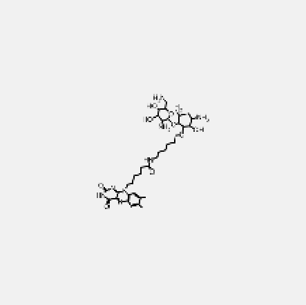 Cc1cc2nc3c(=O)[nH]c(=O)nc-3n(CCCCCC(=O)NCCCCCCOC3C(O)C(N)CC(N)C3OC3OC(CN)C(O)C(O)C3N)c2cc1C